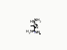 C=N/N=C(/N)c1ncn(NN)c1C